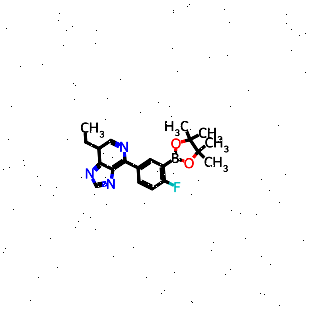 CCC1C=NC(c2ccc(F)c(B3OC(C)(C)C(C)(C)O3)c2)=C2N=CN=C21